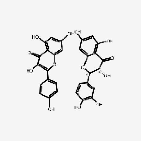 O=C1c2c(O)cc(O)cc2O[C@H](c2ccc(O)c(O)c2)[C@H]1O.O=c1c(O)c(-c2ccc(O)cc2)oc2cc(O)cc(O)c12